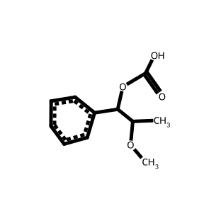 COC(C)C(OC(=O)O)c1ccccc1